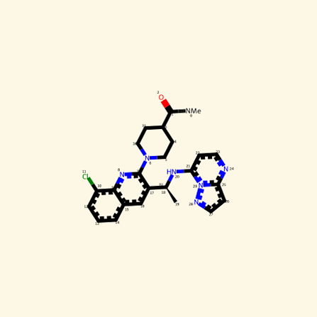 CNC(=O)C1CCN(c2nc3c(Cl)cccc3cc2[C@H](C)Nc2ccnc3ccnn23)CC1